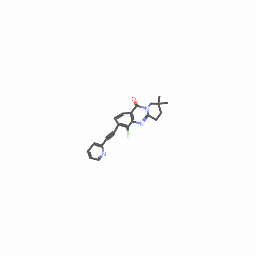 CC1(C)CCc2nc3c(F)c(C#Cc4ccccn4)ccc3c(=O)n2C1